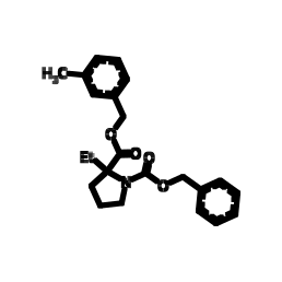 CCC1(C(=O)OCc2cccc(C)c2)CCCN1C(=O)OCc1ccccc1